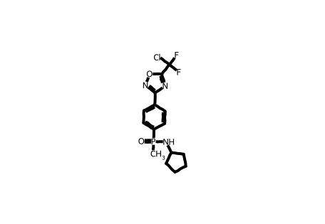 CP(=O)(NC1CCCC1)c1ccc(-c2noc(C(F)(F)Cl)n2)cc1